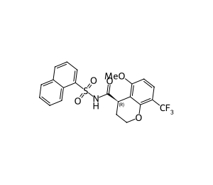 COc1ccc(C(F)(F)F)c2c1[C@H](C(=O)NS(=O)(=O)c1cccc3ccccc13)CCO2